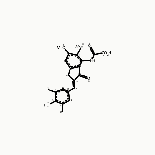 COc1cc2c(c(NC(=O)C(=O)O)c1OC)C(=O)C(=Cc1cc(C)c(O)c(C)c1)C2